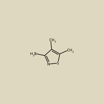 Bc1nsc(C)c1C